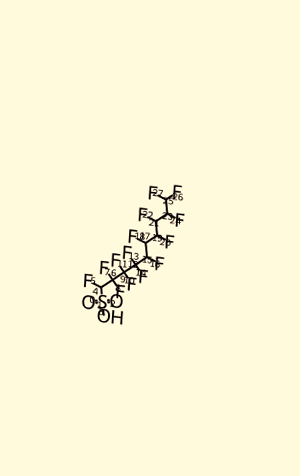 O=S(=O)(O)C(F)C(F)(F)C(F)(F)C(F)(F)C(F)C(F)C(F)C(F)C(F)C(F)F